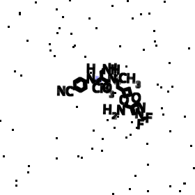 C/C(Nc1ccc(C#N)cc1)=C(/C=N)C(=O)N[C@@H](C)CC1CC(Oc2nn(C(F)F)cc2C(N)=O)C1